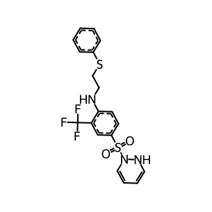 O=S(=O)(c1ccc(NCCSc2ccccc2)c(C(F)(F)F)c1)N1C=CC=CN1